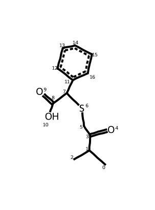 CC(C)C(=O)CSC(C(=O)O)c1ccccc1